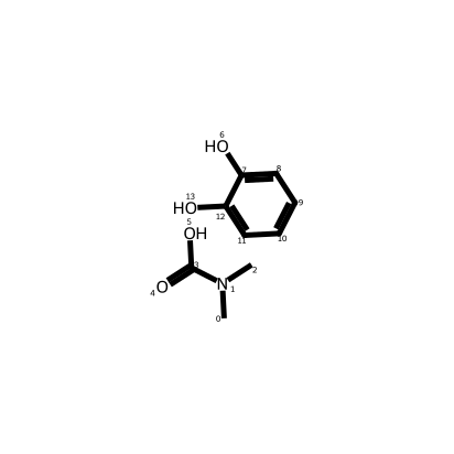 CN(C)C(=O)O.Oc1ccccc1O